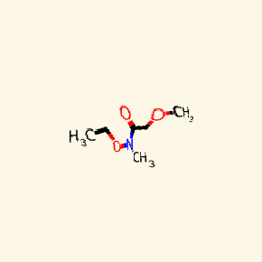 CCON(C)C(=O)COC